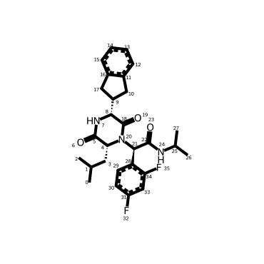 CC(C)C[C@@H]1C(=O)N[C@H](C2Cc3ccccc3C2)C(=O)N1[C@@H](C(=O)NC(C)C)c1ccc(F)cc1F